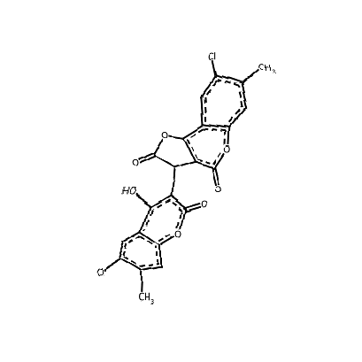 Cc1cc2oc(=O)c(C3C(=O)Oc4c3c(=O)oc3cc(C)c(Cl)cc43)c(O)c2cc1Cl